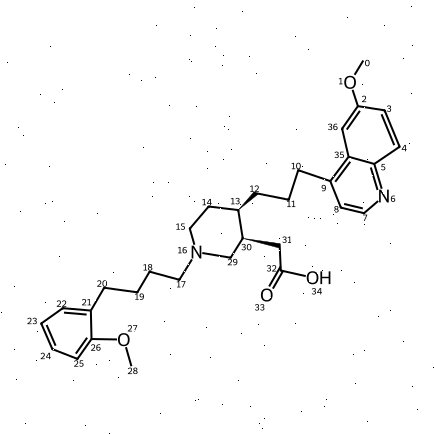 COc1ccc2nccc(CCC[C@@H]3CCN(CCCCc4ccccc4OC)C[C@@H]3CC(=O)O)c2c1